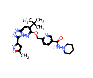 Cc1cc(-c2nnc3cc(C(C)(C)C)c(OCc4ccc(C(=O)NN5CCCCC5)cn4)nn23)no1